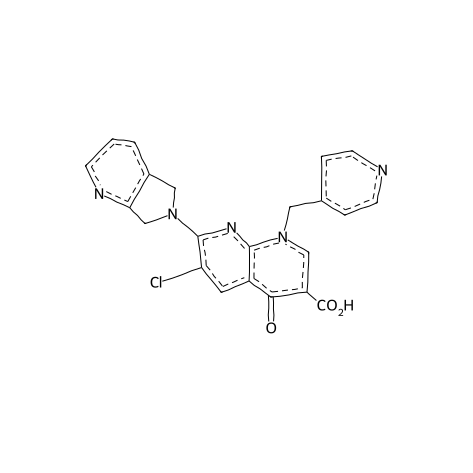 O=C(O)c1cn(Cc2ccncc2)c2nc(N3Cc4cccnc4C3)c(Cl)cc2c1=O